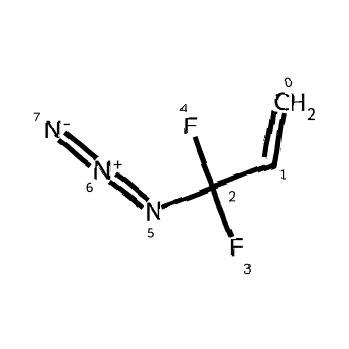 C=CC(F)(F)N=[N+]=[N-]